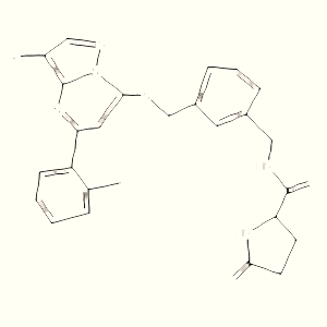 O=C1CCC(C(=O)NCc2cccc(CNc3cc(-c4ccccc4Cl)nc4c(Br)cnn34)c2)N1